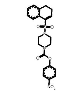 O=C(Oc1ccc([N+](=O)[O-])cc1)N1CCN(S(=O)(=O)C2=CCCc3ccccc32)CC1